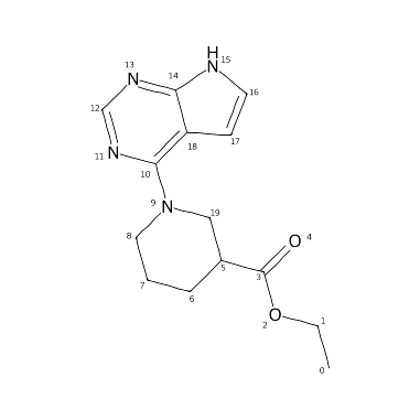 CCOC(=O)C1CCCN(c2ncnc3[nH]ccc23)C1